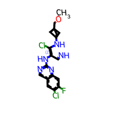 COCC12CC(N/C(Cl)=C(\C=N)Nc3ncc4cc(Cl)c(F)cc4n3)(C1)C2